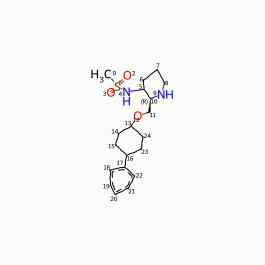 CS(=O)(=O)NC1CCCN[C@H]1COC1CCC(c2ccccc2)CC1